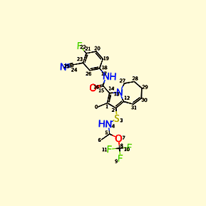 Cc1c(SNC(C)OC(F)(F)F)c2n(c1C(=O)Nc1ccc(F)c(C#N)c1)CCCC=C2